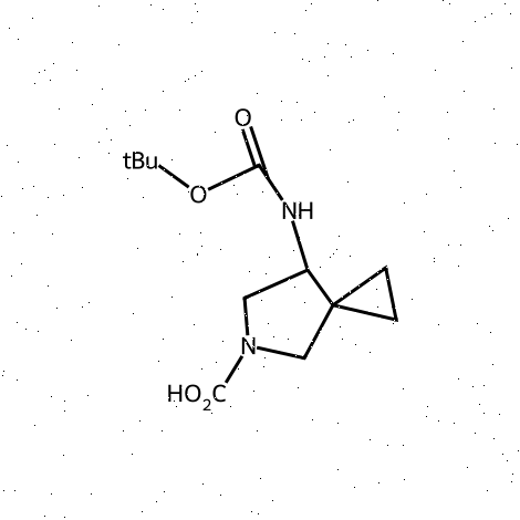 CC(C)(C)OC(=O)NC1CN(C(=O)O)CC12CC2